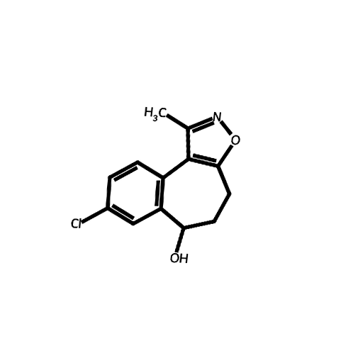 Cc1noc2c1-c1ccc(Cl)cc1C(O)CC2